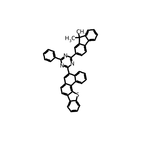 CC1(C)c2ccccc2-c2ccc(-c3nc(-c4ccccc4)nc(-c4cc5ccc6c7ccccc7sc6c5c5ccccc45)n3)cc21